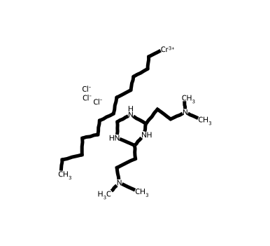 CCCCCCCCCCC[CH2][Cr+3].CN(C)CCC1NCNC(CCN(C)C)N1.[Cl-].[Cl-].[Cl-]